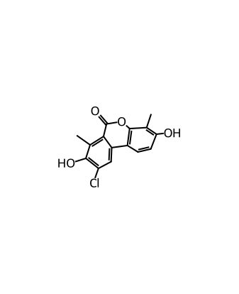 Cc1c(O)ccc2c1oc(=O)c1c(C)c(O)c(Cl)cc12